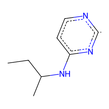 CCC(C)Nc1ccn[c]n1